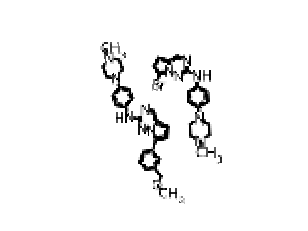 CN1CCN(c2ccc(Nc3ncc4ccc(Br)n4n3)cc2)CC1.COCc1cccc(-c2ccc3cnc(Nc4ccc(N5CCN(C)CC5)cc4)nn23)c1